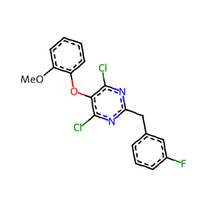 COc1ccccc1Oc1c(Cl)nc(Cc2cccc(F)c2)nc1Cl